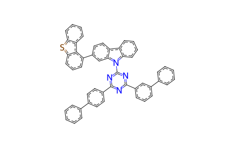 c1ccc(-c2ccc(-c3nc(-c4cccc(-c5ccccc5)c4)nc(-n4c5ccccc5c5ccc(-c6cccc7sc8ccccc8c67)cc54)n3)cc2)cc1